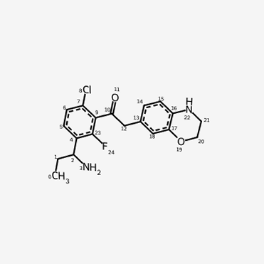 CCC(N)c1ccc(Cl)c(C(=O)Cc2ccc3c(c2)OCCN3)c1F